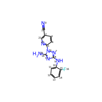 N#Cc1ccc(-n2nc(Nc3ccccc3F)nc2N)nc1